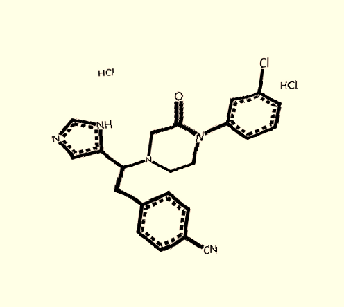 Cl.Cl.N#Cc1ccc(CC(c2cnc[nH]2)N2CCN(c3cccc(Cl)c3)C(=O)C2)cc1